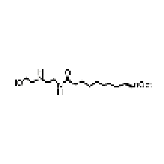 CCCCCCCCC=CCCCCCCCC(=O)NCCNCCO